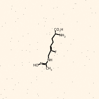 CC(=NO)NCC(F)=CCC[C@H](N)C(=O)O